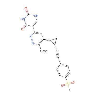 COc1nnc(-c2c[nH]c(=O)[nH]c2=O)cc1[C@H]1C[C@@H]1C#Cc1ccc(S(C)(=O)=O)cc1